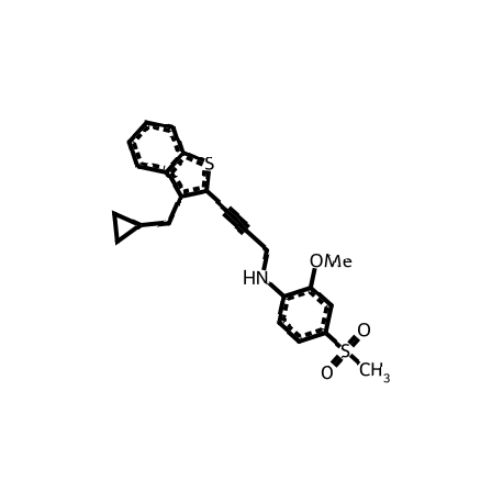 COc1cc(S(C)(=O)=O)ccc1NCC#Cc1sc2ccccc2c1CC1CC1